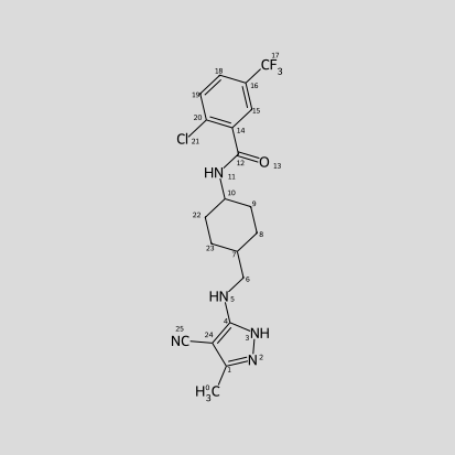 Cc1n[nH]c(NCC2CCC(NC(=O)c3cc(C(F)(F)F)ccc3Cl)CC2)c1C#N